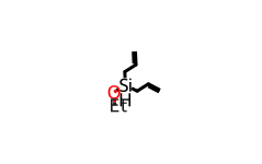 C=CC[SiH](CC=C)OCC